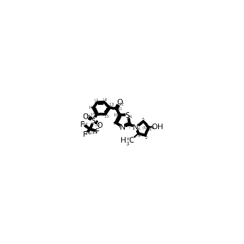 C[C@@H]1C[C@H](O)CN1c1ncc(C(=O)c2cccc(S(=O)(=O)C(F)(F)F)c2)s1